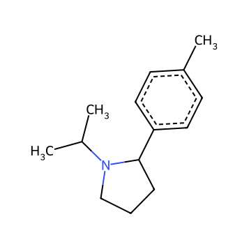 Cc1ccc(C2CCCN2C(C)C)cc1